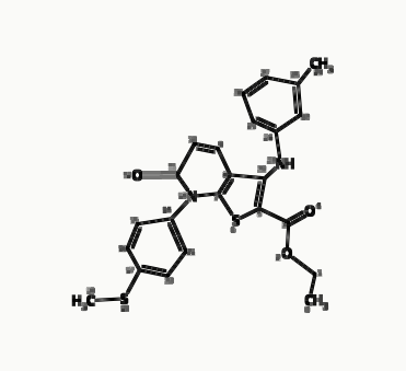 CCOC(=O)c1sc2c(ccc(=O)n2-c2ccc(SC)cc2)c1Nc1cccc(C)c1